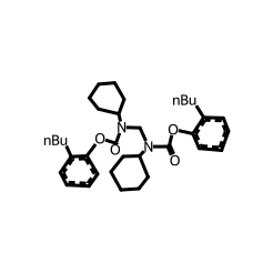 CCCCc1ccccc1OC(=O)N(CN(C(=O)Oc1ccccc1CCCC)C1CCCCC1)C1CCCCC1